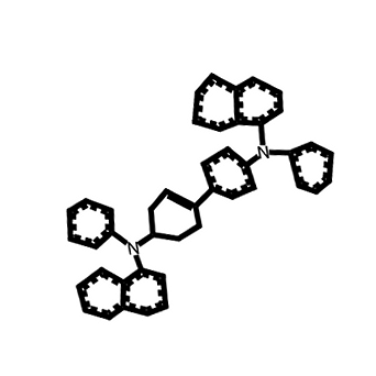 C1=C(c2ccc(N(c3ccccc3)c3cccc4ccccc34)cc2)CCC(N(c2ccccc2)c2cccc3ccccc23)C1